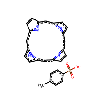 C1=Cc2cc3ccc(cc4nc(cc5ccc(cc1n2)[nH]5)C=C4)[nH]3.Cc1ccc(S(=O)(=O)O)cc1